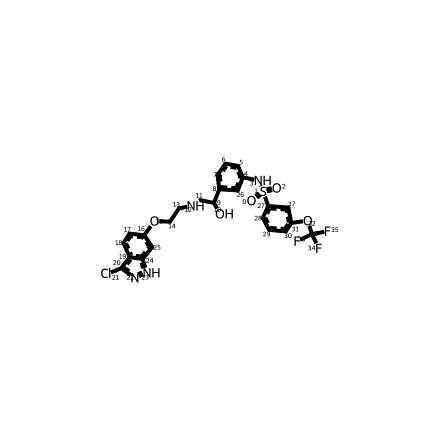 O=S(=O)(Nc1cccc(C(O)CNCCOc2ccc3c(Cl)n[nH]c3c2)c1)c1cccc(OC(F)(F)F)c1